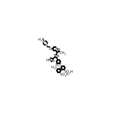 Cc1ccc(S(=O)(=O)O)cc1.Cc1ccc(S(=O)(=O)O)cc1.Cc1nn2ccc(OCCN3CCN(C)CC3)cc2c1-c1nc(-c2ccccc2)c(-c2nc[nH]n2)s1